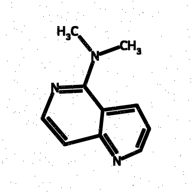 CN(C)c1nccc2ncccc12